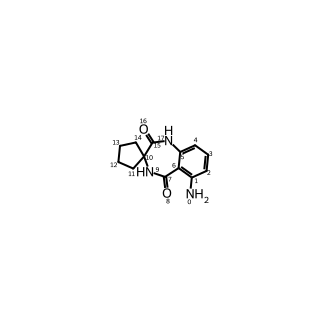 Nc1cccc2c1C(=O)NC1(CCCC1)C(=O)N2